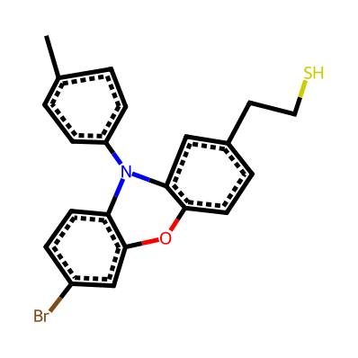 Cc1ccc(N2c3ccc(Br)cc3Oc3ccc(CCS)cc32)cc1